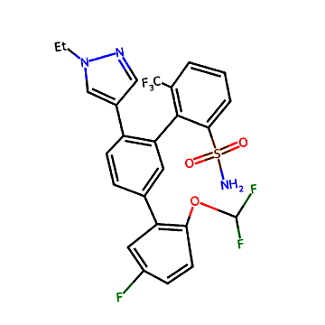 CCn1cc(-c2ccc(-c3cc(F)ccc3OC(F)F)cc2-c2c(C(F)(F)F)cccc2S(N)(=O)=O)cn1